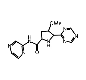 COC1CC(C(=O)Nc2cnccn2)NC1c1ncncn1